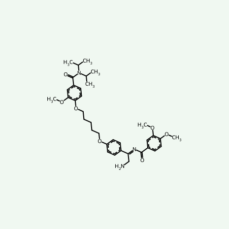 COc1ccc(C(=O)N=C(CN)c2ccc(OCCCCCOc3ccc(C(=O)N(C(C)C)C(C)C)cc3OC)cc2)cc1OC